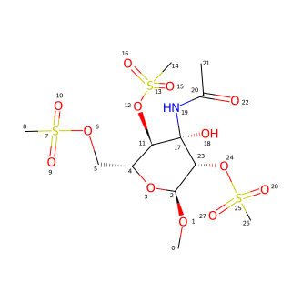 CO[C@H]1O[C@H](COS(C)(=O)=O)[C@@H](OS(C)(=O)=O)[C@@](O)(NC(C)=O)[C@@H]1OS(C)(=O)=O